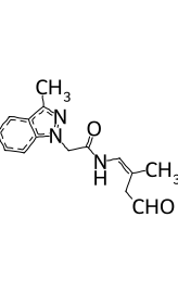 C/C(=C/NC(=O)Cn1nc(C)c2ccccc21)CC=O